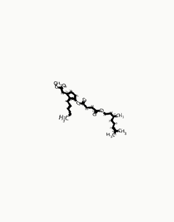 CCCCCC1=C(OC(=O)CCC(=O)OCCC(C)CCC=C(C)C)CCC1CC(=O)OC